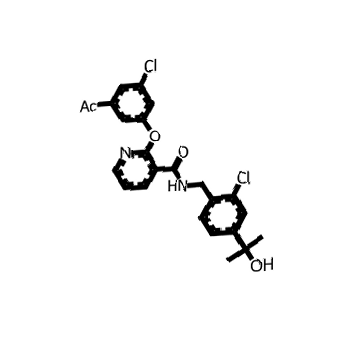 CC(=O)c1cc(Cl)cc(Oc2ncccc2C(=O)NCc2ccc(C(C)(C)O)cc2Cl)c1